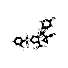 N#CC1(C(N)=O)CC1[C@]1(C(=O)O)C[C@H](S(=O)(=O)c2ccccc2Cl)C[C@H]1COc1ccc(O)nn1